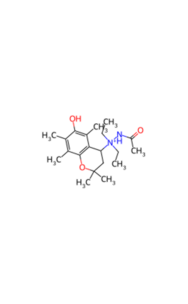 CC[N+](CC)(NC(C)=O)C1CC(C)(C)Oc2c(C)c(C)c(O)c(C)c21